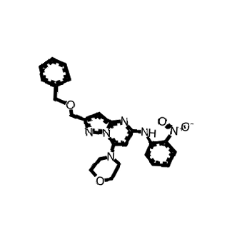 O=[N+]([O-])c1ccccc1Nc1cc(N2CCOCC2)n2nc(COCc3ccccc3)cc2n1